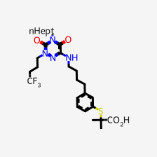 CCCCCCCn1c(=O)c(NCCCCc2cccc(SC(C)(C)C(=O)O)c2)nn(CCCC(F)(F)F)c1=O